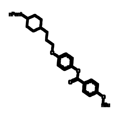 CCCCCC1CCC(CCCOc2ccc(OC(=O)c3ccc(OCCCC)cc3)cc2)CC1